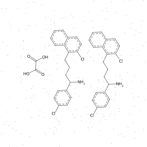 NC(CCCc1c(Cl)ccc2ccccc12)c1ccc(Cl)cc1.NC(CCCc1c(Cl)ccc2ccccc12)c1ccc(Cl)cc1.O=C(O)C(=O)O